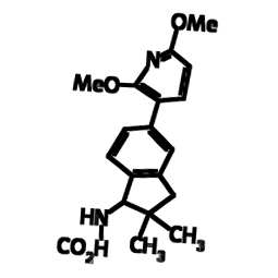 COc1ccc(-c2ccc3c(c2)CC(C)(C)C3NC(=O)O)c(OC)n1